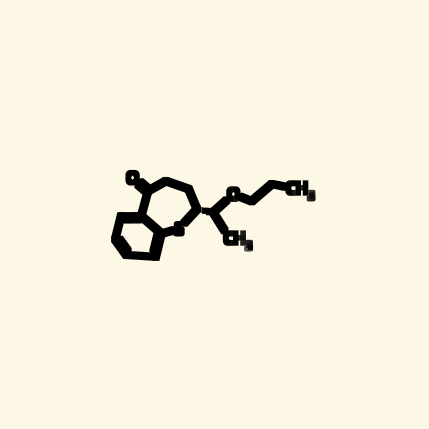 CCCOC(C)[C@H]1CCC(=O)c2ccccc2S1